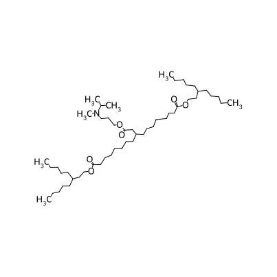 CCCCCC(CCCCC)CCOC(=O)CCCCCCCC(CCCCCCCC(=O)OCCC(CCCCC)CCCCC)CC(=O)OCCCN(C)C(C)C